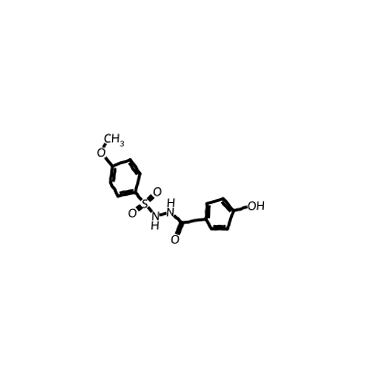 COc1ccc(S(=O)(=O)NNC(=O)c2ccc(O)cc2)cc1